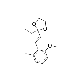 CCC1(C=Cc2c(F)cccc2OC)OCCO1